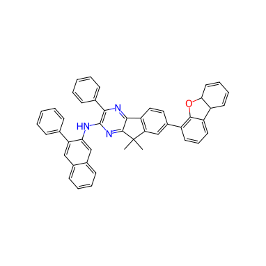 CC1(C)c2cc(-c3cccc4c3OC3C=CC=CC43)ccc2-c2nc(-c3ccccc3)c(Nc3cc4ccccc4cc3-c3ccccc3)nc21